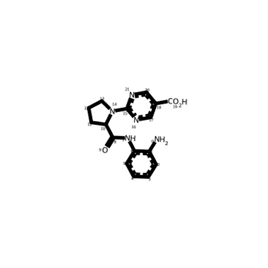 Nc1ccccc1NC(=O)C1CCCN1c1ncc(C(=O)O)cn1